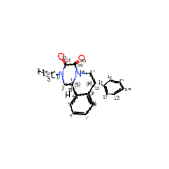 CN1C[C@@H]2c3ccccc3[C@@H](c3ccccc3)CN2C(=O)C1=O